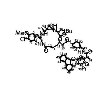 COc1ccc(C[C@H]2NC(=O)/C=C/C[C@@H](C(C)[C@H]3O[C@@H]3c3ccc(CNC(=O)C(C)NC(=O)C(C(C)C)N(C)C(=O)OC4c5ccccc5-c5ccccc54)cc3)OC(=O)[C@H](CC(C)(C)C)NC(=O)C(C)(C)C(C)NC2=O)cc1Cl